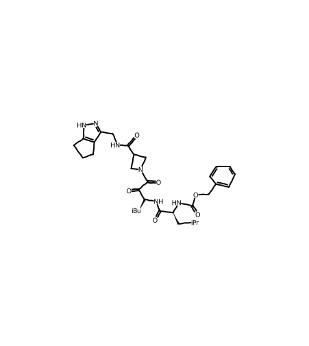 CC[C@H](C)C(NC(=O)[C@H](CC(C)C)NC(=O)OCc1ccccc1)C(=O)C(=O)N1CC(C(=O)NCc2n[nH]c3c2CCC3)C1